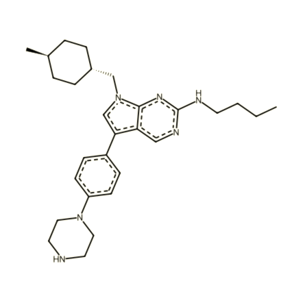 CCCCNc1ncc2c(-c3ccc(N4CCNCC4)cc3)cn(C[C@H]3CC[C@H](C)CC3)c2n1